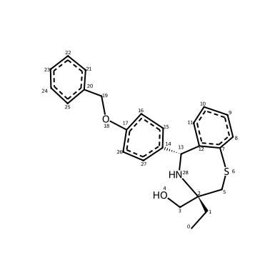 CC[C@]1(CO)CSc2ccccc2[C@@H](c2ccc(OCc3ccccc3)cc2)N1